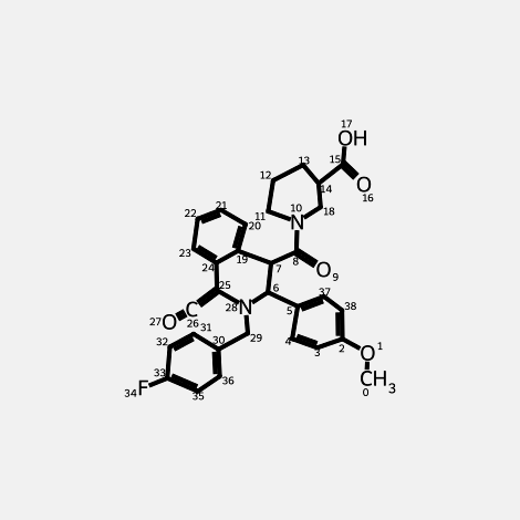 COc1ccc(C2C(C(=O)N3CCCC(C(=O)O)C3)c3ccccc3C(=C=O)N2Cc2ccc(F)cc2)cc1